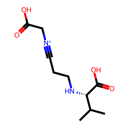 CC(C)[C@H](NCCC#[N+]CC(=O)O)C(=O)O